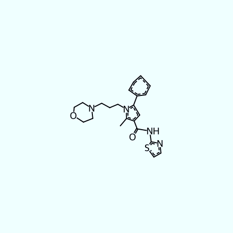 Cc1c(C(=O)Nc2nccs2)cc(-c2ccccc2)n1CCCN1CCOCC1